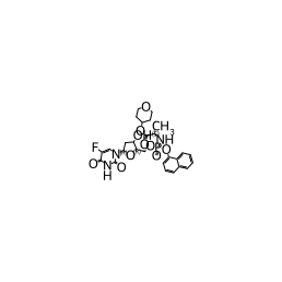 C[C@H](NP(=O)(OC[C@H]1O[C@@H](n2cc(F)c(=O)[nH]c2=O)CC1O)Oc1cccc2ccccc12)C(=O)OC1CCOCC1